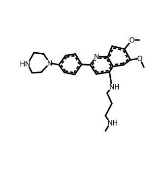 CNCCCNc1cc(-c2ccc(N3CCNCC3)cc2)nc2cc(OC)c(OC)cc12